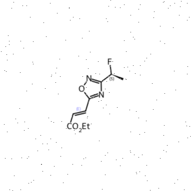 CCOC(=O)/C=C/c1nc([C@H](C)F)no1